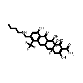 CCCCNCc1cc(O)c2c(c1C(F)(F)F)CC1C[C@H]3CC(O)=C(C(N)=O)C(=O)[C@@]3(O)C(O)=C1C2=O